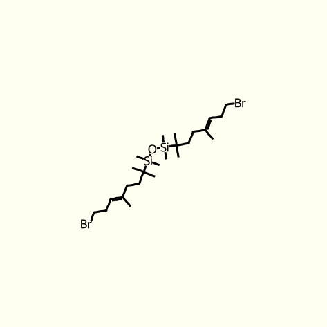 C/C(=C\CCBr)CCC(C)(C)[Si](C)(C)O[Si](C)(C)C(C)(C)CC/C(C)=C/CCBr